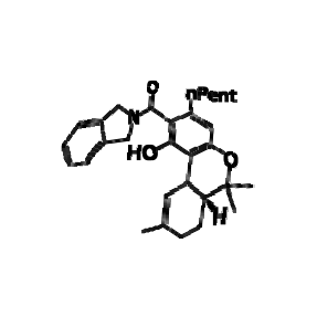 CCCCCc1cc2c(c(O)c1C(=O)N1Cc3ccccc3C1)C1C=C(C)CC[C@H]1C(C)(C)O2